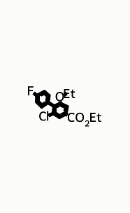 CCOC(=O)c1cc(Cl)c(-c2ccc(F)cc2)c(OCC)c1